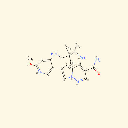 COc1ccc(-c2cc3c(NC(C)C(C)(C)CN)c(C(N)=O)cnn3c2)cn1